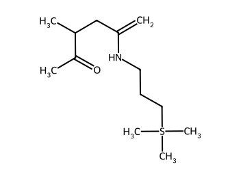 C=C(CC(C)C(C)=O)NCCCS(C)(C)C